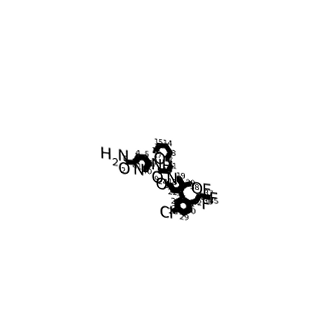 NC(=O)c1ccc(NC(=O)C(C[C@@H]2CCCCO2)n2cc3c(cc2=O)-c2cc(Cl)ccc2CC(C(F)(F)F)OC3)cn1